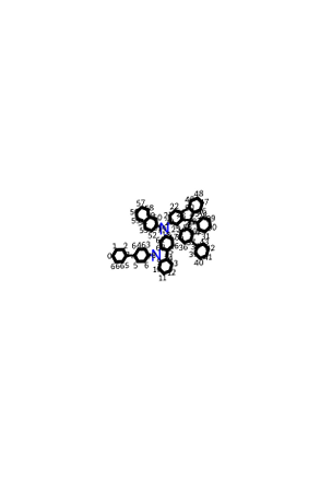 c1ccc(-c2ccc(-n3c4ccccc4c4ccc(N(c5ccc6c(c5)C(c5ccccc5)(c5cccc(-c7ccccc7)c5)c5ccccc5-6)c5ccc6ccccc6c5)cc43)cc2)cc1